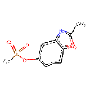 Cc1nc2cc(OS(=O)(=O)C(F)(F)F)ccc2o1